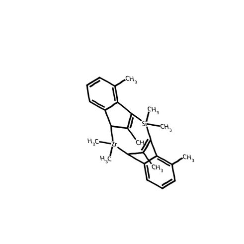 CC1=C2c3c(C)cccc3[CH]1[Zr]([CH3])([CH3])[CH]1C(C)=C(c3c(C)cccc31)[Si]2(C)C